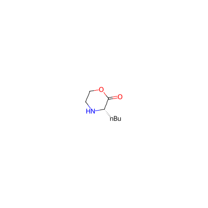 CCCC[C@@H]1NCCOC1=O